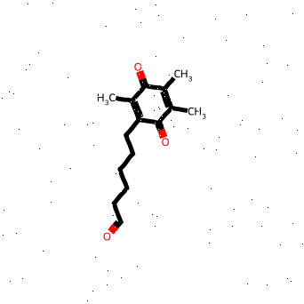 CC1=C(C)C(=O)C(CCCCCC=O)=C(C)C1=O